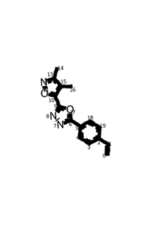 C=Cc1ccc(-c2nnc(-c3onc(C)c3C)o2)cc1